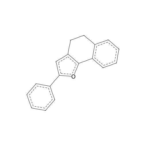 c1ccc(-c2cc3c(o2)-c2ccccc2CC3)cc1